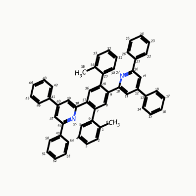 Cc1ccccc1-c1cc(-c2cc(-c3ccccc3)cc(-c3ccccc3)n2)c(-c2ccccc2C)cc1-c1cc(-c2ccccc2)cc(-c2ccccc2)n1